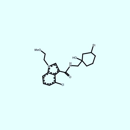 CCC1CCCC(O)(CNC(=O)c2cn(CCOC)c3cccc(Cl)c23)C1